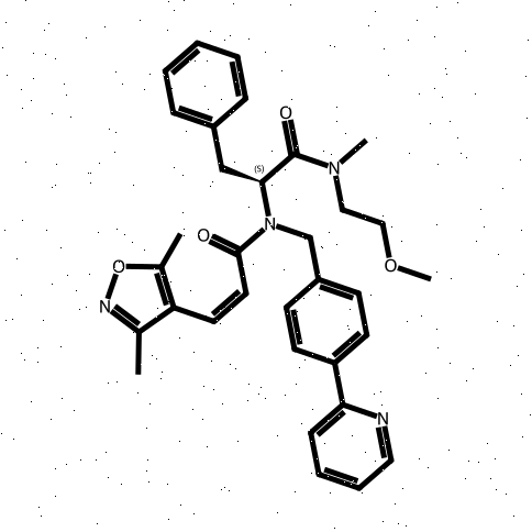 COCCN(C)C(=O)[C@H](Cc1ccccc1)N(Cc1ccc(-c2ccccn2)cc1)C(=O)C=Cc1c(C)noc1C